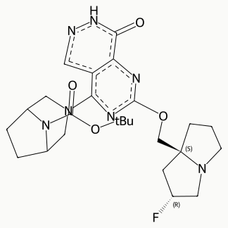 CC(C)(C)OC(=O)N1C2CCC1CN(c1nc(OC[C@@]34CCCN3C[C@H](F)C4)nc3c(=O)[nH]ncc13)C2